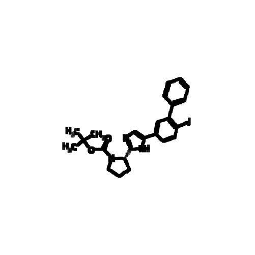 CC(C)(C)OC(=O)N1CCC[C@H]1c1ncc(-c2ccc(I)c(-c3ccccc3)c2)[nH]1